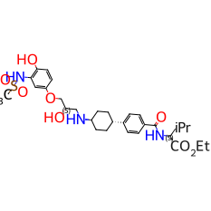 CCOC(=O)[C@@H](NC(=O)c1ccc([C@H]2CC[C@H](NC[C@H](O)COc3ccc(O)c(NS(C)(=O)=O)c3)CC2)cc1)C(C)C